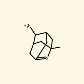 CC12CC3CC(=N1)CC(C2)C3N